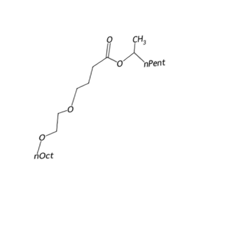 CCCCCCCCOCCOCCCC(=O)OC(C)CCCCC